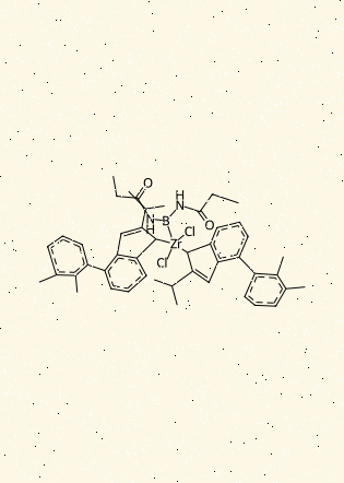 CCC(=O)N[B](NC(=O)CC)[Zr]([Cl])([Cl])([CH]1C(C(C)C)=Cc2c(-c3cccc(C)c3C)cccc21)[CH]1C(C(C)C)=Cc2c(-c3cccc(C)c3C)cccc21